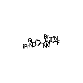 Cc1c(-c2ccc3c(c2)CN(C(C)C)C3=O)nnn1-c1cc(F)ncc1Br